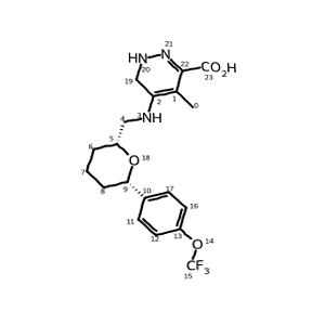 CC1=C(NC[C@H]2CCC[C@@H](c3ccc(OC(F)(F)F)cc3)O2)CNN=C1C(=O)O